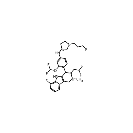 C[C@@H]1Cc2c([nH]c3c(F)cccc23)C(c2ccc(N[C@H]3CCN(CCCF)C3)cc2OC(F)F)N1CC(F)F